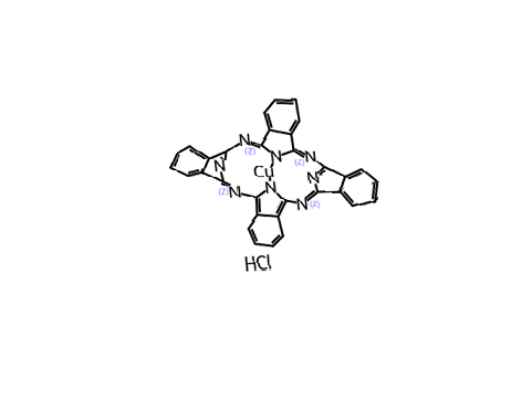 Cl.c1ccc2c(c1)C1=NC/2=N\c2c3ccccc3c3[n]2[Cu][n]2/c(c4ccccc4/c2=N/C2=N\C(=N/3)c3ccccc32)=N\1